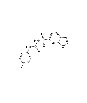 O=C(Nc1ccc(Cl)cc1)NS(=O)(=O)c1ccc2ccoc2c1